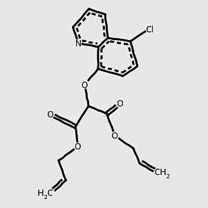 C=CCOC(=O)C(Oc1ccc(Cl)c2cccnc12)C(=O)OCC=C